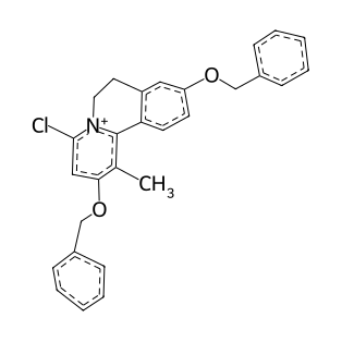 Cc1c(OCc2ccccc2)cc(Cl)[n+]2c1-c1ccc(OCc3ccccc3)cc1CC2